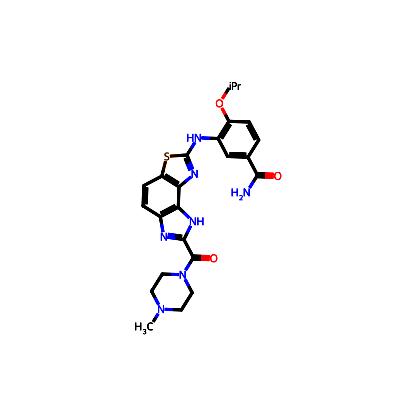 CC(C)Oc1ccc(C(N)=O)cc1Nc1nc2c(ccc3nc(C(=O)N4CCN(C)CC4)[nH]c32)s1